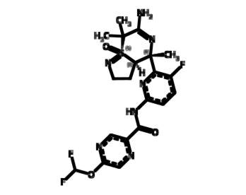 CC1(C)C(N)=N[C@](C)(c2nc(NC(=O)c3cnc(OC(F)F)cn3)ccc2F)[C@H]2CCN=[S@]21=O